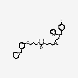 CN(CCCNC(=O)NCCCOc1cccc(CN2CCCCC2)c1)CCN(Cc1ccc(F)cc1)c1ccccn1